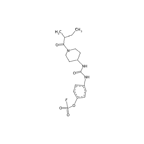 CCC(C)C(=O)N1CCC(NC(=O)Nc2ccc(OS(=O)(=O)F)cc2)CC1